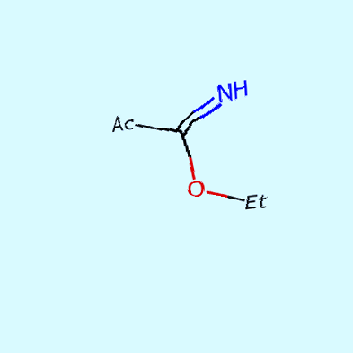 CCOC(=N)C(C)=O